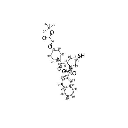 CC(C)(C)OC(=O)COC1CCN(C(=O)[C@@H]2C[C@H](S)CN2S(=O)(=O)c2ccc3ccccc3c2)CC1